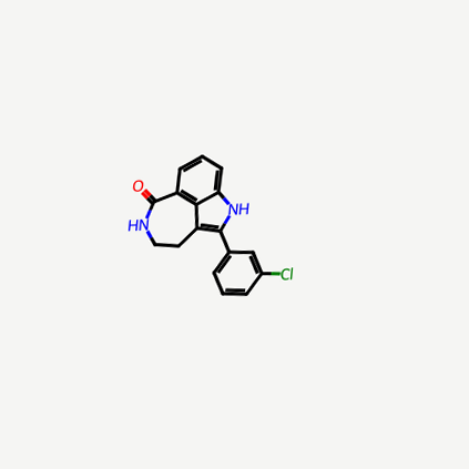 O=C1NCCc2c(-c3cccc(Cl)c3)[nH]c3cccc1c23